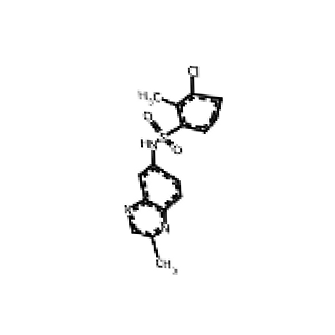 Cc1cnc2cc(NS(=O)(=O)c3cccc(Cl)c3C)ccc2n1